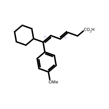 COc1ccc(/C(=C\C=C\CC(=O)O)C2CCCCC2)cc1